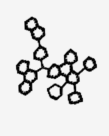 C1=CCCC(c2c(-c3ccccc3)cc(-c3ccccc3)c3c4ccccc4c4cc(N(c5ccc(-c6ccc7ccccc7c6)cc5)c5cc6ccccc6c6ccccc56)ccc4c23)=C1